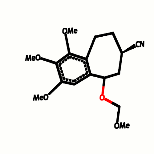 COCOC1C[C@H](C#N)CCc2c1cc(OC)c(OC)c2OC